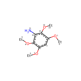 CCOc1cc(OCC)c(OCC)c(N)c1OCC